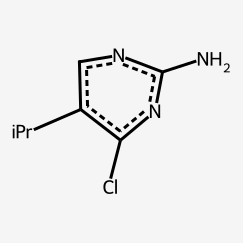 CC(C)c1cnc(N)nc1Cl